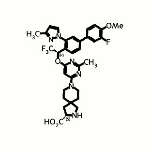 COc1ccc(-c2ccc([C@@H](Oc3cc(N4CCC5(CC4)CN[C@H](C(=O)O)C5)nc(C)n3)C(F)(F)F)c(-n3ccc(C)n3)c2)cc1F